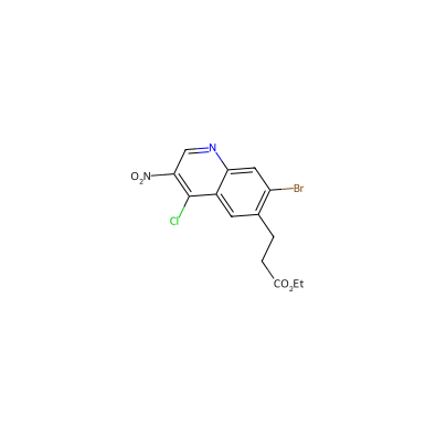 CCOC(=O)CCc1cc2c(Cl)c([N+](=O)[O-])cnc2cc1Br